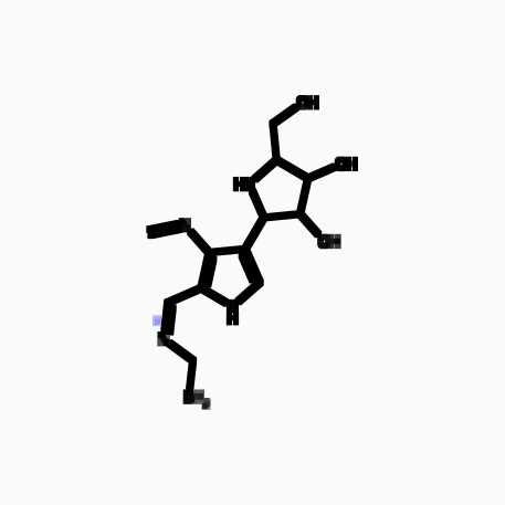 BC/N=C\c1[nH]cc(C2NC(CO)C(O)C2O)c1N=C